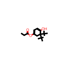 CCC(=O)OC1=CC=C(O)C(C(C)(C)C)(C(C)(C)C)C1